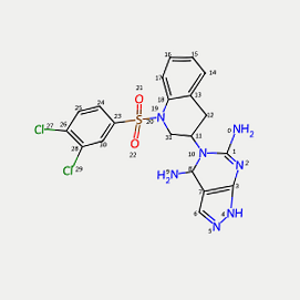 NC1=Nc2[nH]ncc2C(N)N1C1Cc2ccccc2N(S(=O)(=O)c2ccc(Cl)c(Cl)c2)C1